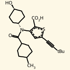 CC1CCC(C(=O)N(c2cc(C#CC(C)(C)C)sc2[14C](=O)O)[C@H]2CC[C@H](O)CC2)CC1